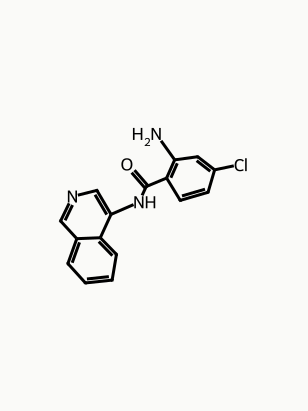 Nc1cc(Cl)ccc1C(=O)Nc1cncc2ccccc12